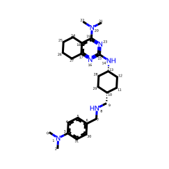 CN(C)c1ccc(CNC[C@H]2CC[C@@H](Nc3nc4c(c(N(C)C)n3)CCCC4)CC2)cc1